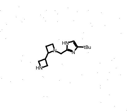 CC(C)(C)c1c[nH]c(CN2CCC2C2CNC2)n1